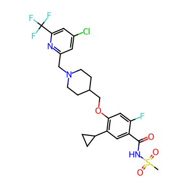 CS(=O)(=O)NC(=O)c1cc(C2CC2)c(OCC2CCN(Cc3cc(Cl)cc(C(F)(F)F)n3)CC2)cc1F